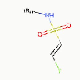 CC(C)(C)NS(=O)(=O)/C=C/F